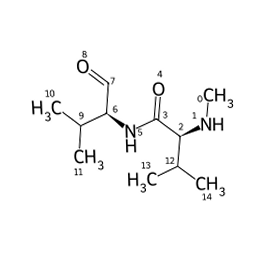 CN[C@H](C(=O)N[C@H](C=O)C(C)C)C(C)C